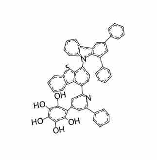 Oc1c(O)c(O)c(-c2cc(-c3ccccc3)nc(-c3ccc(-n4c5ccccc5c5cc(-c6ccccc6)cc(-c6ccccc6)c54)c4sc5ccccc5c34)c2)c(O)c1O